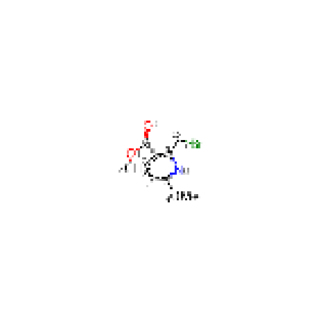 COC=O.COc1cccc(CBr)n1